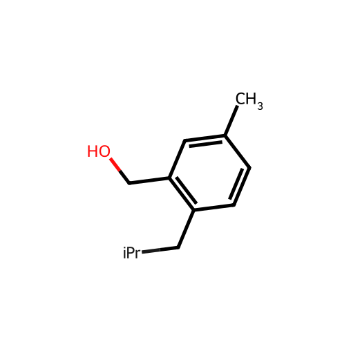 Cc1ccc(CC(C)C)c(CO)c1